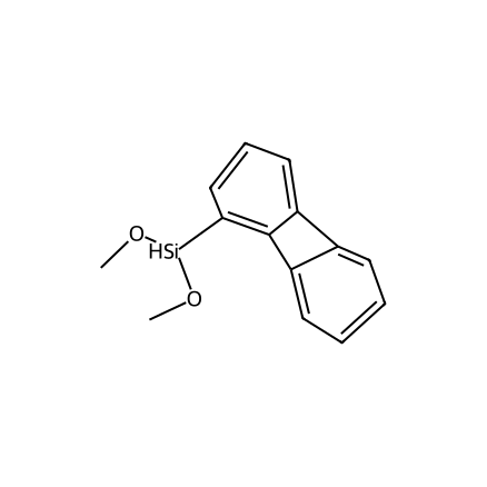 CO[SiH](OC)c1cccc2c1-c1ccccc1-2